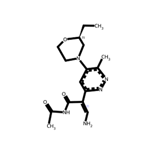 CC[C@H]1CN(c2cc(/C(=C/N)C(=O)NC(C)=O)nnc2C)CCO1